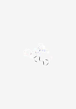 CN1OC2(CC3(CCCOC3)Oc3ccc(-c4cccc(F)c4)cc32)N=C1N